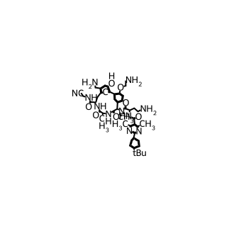 Cc1nc(-c2ccc(C(C)(C)C)cc2)nc(C)c1C(=O)NC(CCN)C(=O)N(C)C1C(=O)NC(C)C(=O)NC(C(=O)NCC#N)Cc2cc(c(O)cc2CN)-c2cc1ccc2OCCN